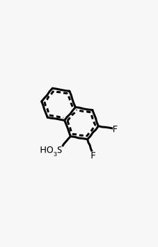 O=S(=O)(O)c1c(F)c(F)cc2ccccc12